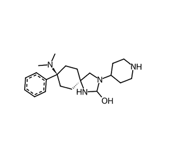 CN(C)[C@]1(c2ccccc2)CC[C@]2(CC1)CN(C1CCNCC1)C(O)N2